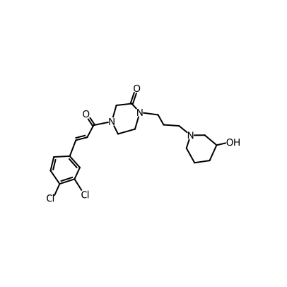 O=C(C=Cc1ccc(Cl)c(Cl)c1)N1CCN(CCCN2CCCC(O)C2)C(=O)C1